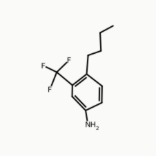 CCCCc1ccc(N)cc1C(F)(F)F